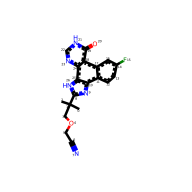 CC(C)(COCC#N)c1nc2c3ccc(F)cc3c3c(=O)[nH]cnc3c2[nH]1